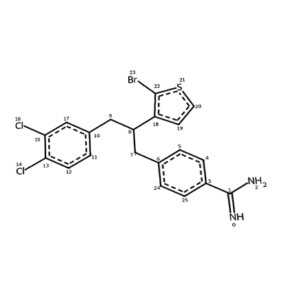 N=C(N)c1ccc([CH]C(Cc2ccc(Cl)c(Cl)c2)c2ccsc2Br)cc1